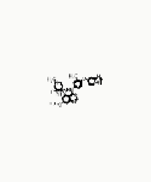 [2H]C1(Oc2cc(OC)cc3ncnc(Nc4ccc(Oc5ccn6ncnc6c5)c(C)c4)c23)CCN(C)CC1(F)F